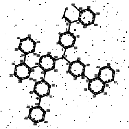 C/C=C(/c1ccc(N(c2ccc(-c3cccc4ccccc34)cc2)c2ccc(-c3ccccc3-c3ccccc3)c(-c3ccc(-c4ccccc4)cc3)c2)cc1)c1ccccc1C